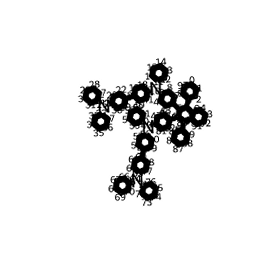 c1ccc(-c2c(-c3ccc(N(c4ccccc4)c4ccc(-c5ccc(N(c6ccccc6)c6ccccc6)cc5)cc4)cc3)c(-c3ccc(N(c4ccccc4)c4ccc(-c5ccc(N(c6ccccc6)c6ccccc6)cc5)cc4)cc3)c(-c3ccccc3)c3ccccc23)cc1